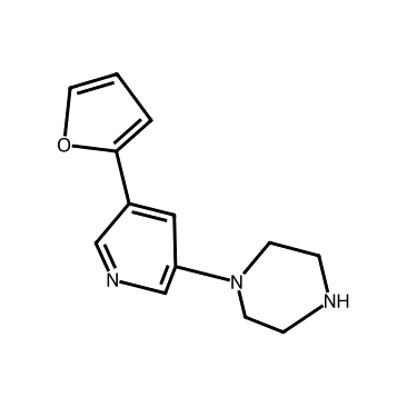 c1coc(-c2cncc(N3CCNCC3)c2)c1